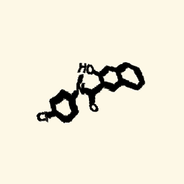 CN(C(=O)c1cc2ccccc2cc1O)c1ccc(Cl)cc1